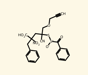 C#CCOCC(C#N)(CC(Cc1ccccc1)(C(=O)O)[N+](=O)[O-])S[S+]([O-])C(=O)c1ccccc1